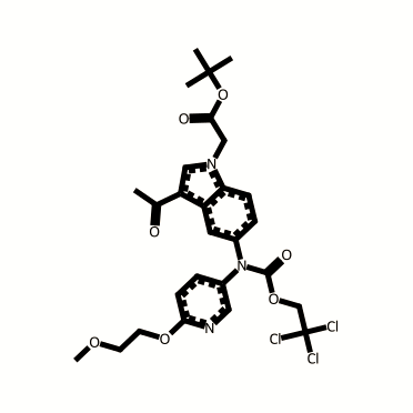 COCCOc1ccc(N(C(=O)OCC(Cl)(Cl)Cl)c2ccc3c(c2)c(C(C)=O)cn3CC(=O)OC(C)(C)C)cn1